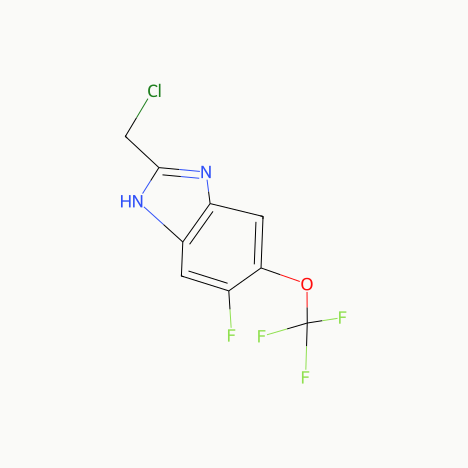 Fc1cc2[nH]c(CCl)nc2cc1OC(F)(F)F